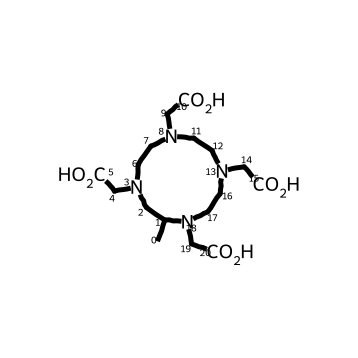 CC1CN(CC(=O)O)CCN(CC(=O)O)CCN(CC(=O)O)CCN1CC(=O)O